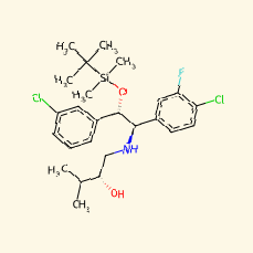 CC(C)[C@@H](O)CN[C@H](c1ccc(Cl)c(F)c1)[C@@H](O[Si](C)(C)C(C)(C)C)c1cccc(Cl)c1